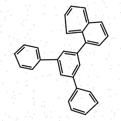 [c]1ccc(-c2cc(-c3ccccc3)cc(-c3cccc4ccccc34)c2)cc1